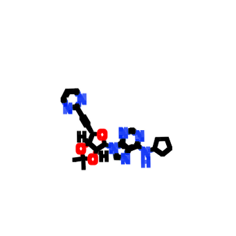 CC1(C)O[C@H]2[C@H](O1)[C@@H](C#Cc1ncccn1)O[C@H]2n1cnc2c(NC3CCCC3)ncnc21